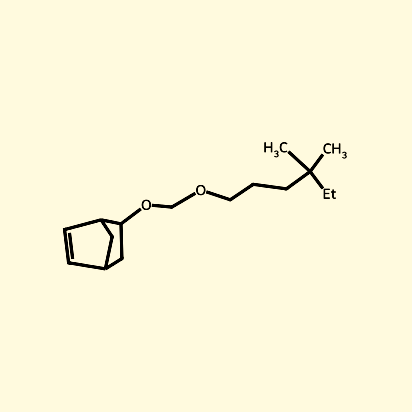 CCC(C)(C)CCCOCOC1CC2C=CC1C2